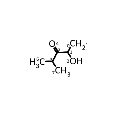 [CH2]C(O)C(=O)C(C)C